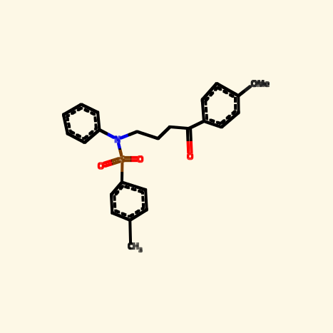 COc1ccc(C(=O)CCCN(c2ccccc2)S(=O)(=O)c2ccc(C)cc2)cc1